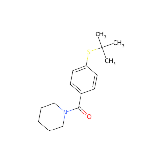 CC(C)(C)Sc1ccc(C(=O)N2CCCCC2)cc1